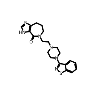 O=C1c2[nH]cnc2CCCN1CCN1CCN(c2nsc3ccccc23)CC1